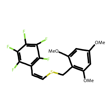 COc1cc(OC)c(CS/C=C\c2c(F)c(F)c(F)c(F)c2F)c(OC)c1